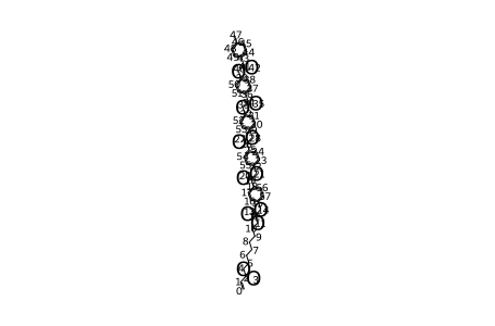 C=CC(=O)OCCCCCCOC(=O)Oc1ccc(C(=O)Oc2ccc(C(=O)Oc3ccc(OC(=O)c4ccc(OC(=O)c5ccc(C)cc5)cc4)cc3)cc2)cc1